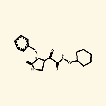 O=C(NOC1CCCCC1)C(=O)C1CNC(=O)[C@@H]1Cc1ccccc1